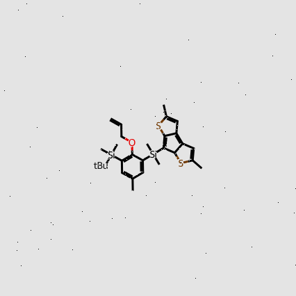 C=CCOc1c([Si](C)(C)C2=c3sc(C)cc3=C3C=C(C)SC32)cc(C)cc1[Si](C)(C)C(C)(C)C